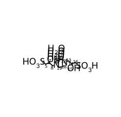 O.O.O.O.O=S(=O)(O)CC(O)CN1CCN(CC(O)CS(=O)(=O)O)CC1